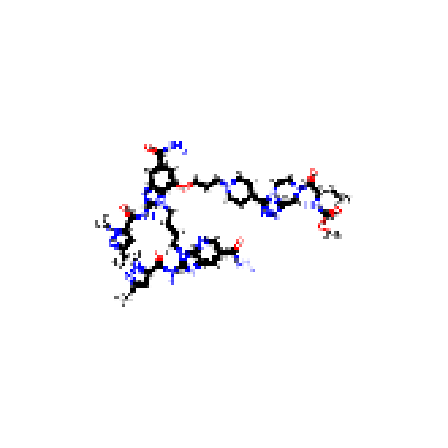 CCn1nc(C)cc1C(=O)Nc1nc2cc(C(N)=O)cnc2n1C/C=C/Cn1c(NC(=O)c2cc(C)nn2CC)nc2cc(C(N)=O)cc(OCCCN3CCC(c4nnc5n4CCN(C(=O)[C@H](CC(C)C)NC(=O)OC(C)(C)C)C5)CC3)c21